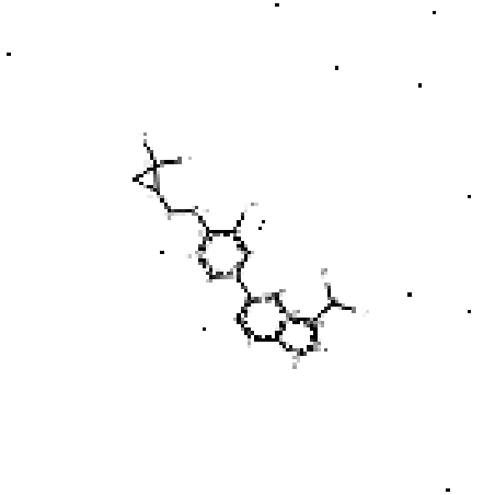 Fc1cc(-c2ccc3nnc(C(F)F)n3n2)cnc1OCC1CC1(F)F